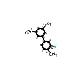 CCCc1cc(CCC)cc(-c2ccc(C)c(F)c2)c1